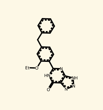 CCOc1cc(Cc2ccccc2)ccc1-c1nc2[nH]nnc2c(=O)[nH]1